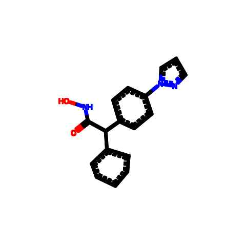 O=C(NO)C(c1ccccc1)c1ccc(-n2cccn2)cc1